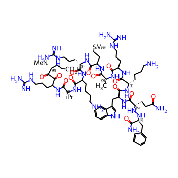 CN[C@H](CCC(=O)O)C(=O)C(=O)C(CCCNC(=N)N)NC(=O)[C@@H](NC(=O)C(CCCCN)NC(=O)[C@H](CCCNC(=N)N)NC(=O)C(CCSC)NC(=O)[C@H](C)NC(=O)C(CCCNC(=N)N)NC(=O)[C@H](CCCCN)NC(=O)C(Cc1c[nH]c2ccccc12)NC(=O)[C@H](CCC(N)=O)NN[C@@H](Cc1ccccc1)C(N)=O)C(C)C